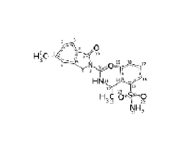 Cc1ccc2c(c1)CN(C(=O)NC(C)c1ccccc1S(N)(=O)=O)C2=O